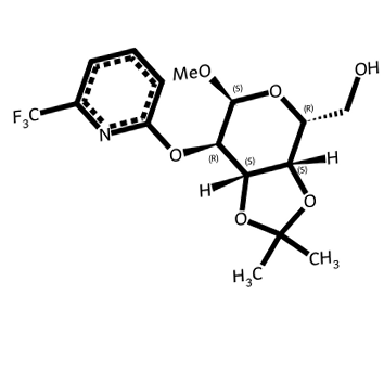 CO[C@H]1O[C@H](CO)[C@@H]2OC(C)(C)O[C@@H]2[C@H]1Oc1cccc(C(F)(F)F)n1